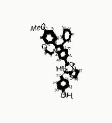 COc1ccc2c(c1)OCCn1c-2c(C2CCCCC2)c2ccc(C(=O)N[C@@H](Cc3ccc(O)cc3)c3nccs3)cc21